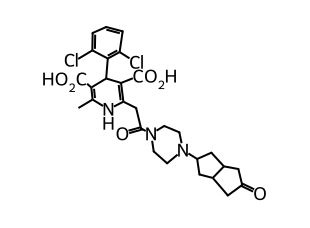 CC1=C(C(=O)O)C(c2c(Cl)cccc2Cl)C(C(=O)O)=C(CC(=O)N2CCN(C3CC4CC(=O)CC4C3)CC2)N1